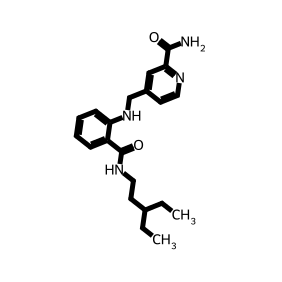 CCC(CC)CCNC(=O)c1ccccc1NCc1ccnc(C(N)=O)c1